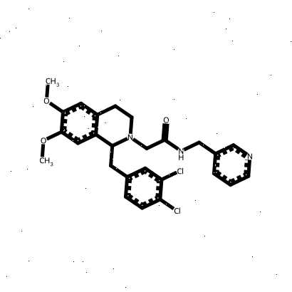 COc1cc2c(cc1OC)C(Cc1ccc(Cl)c(Cl)c1)N(CC(=O)NCc1cccnc1)CC2